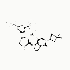 C[C@@H](NC(=O)c1cn(C2CC(F)(F)C2)c(=O)c2cnn(C3NCCO3)c12)c1cccc(C(F)(F)F)c1